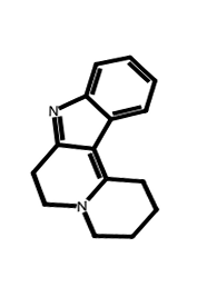 c1ccc2c(c1)N=C1CCN3CCCCC3=C12